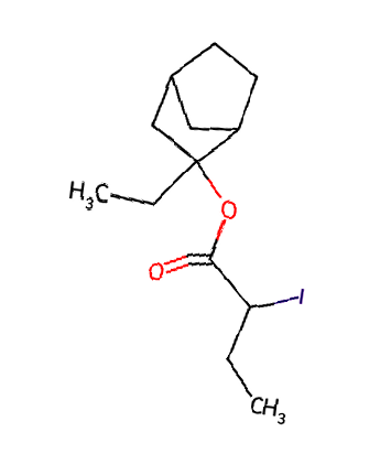 CCC(I)C(=O)OC1(CC)CC2CCC1C2